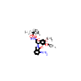 CCOc1cc(C(CC(=O)NOC(=O)C(C)(C)C)N2Cc3cccc(N)c3C2=O)ccc1OC